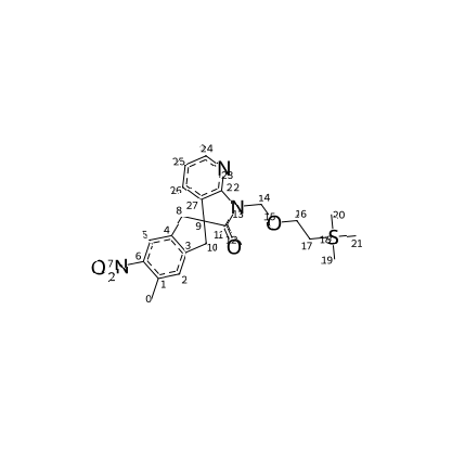 Cc1cc2c(cc1[N+](=O)[O-])CC1(C2)C(=O)N(COCCS(C)(C)C)c2ncccc21